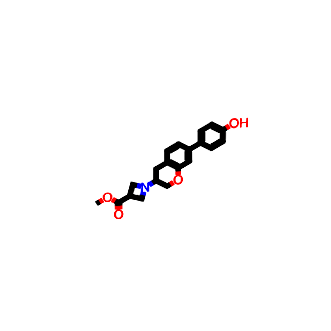 COC(=O)C1CN(C2COc3cc(-c4ccc(O)cc4)ccc3C2)C1